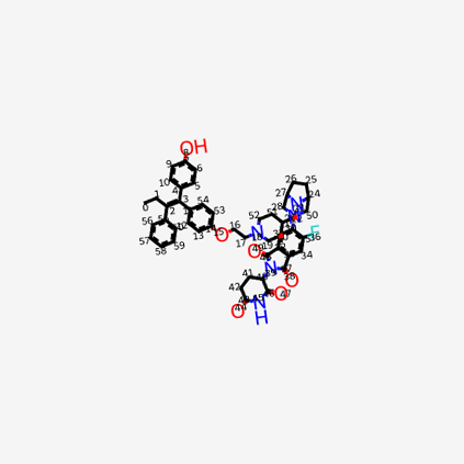 CCC(=C(c1ccc(O)cc1)c1ccc(OCCN2CCC(CN3C4CCC3CN(c3cc5c(cc3F)C(=O)N(C3CCC(=O)NC3=O)C5=O)C4)CC2)cc1)c1ccccc1